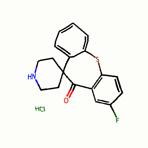 Cl.O=C1c2cc(F)ccc2Sc2ccccc2C12CCNCC2